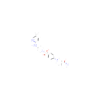 O=C1NCCCC12CCN(c1ccc(S(=O)(=O)N3CCC(Nc4ccc(C(F)(F)F)cn4)CC3)cc1)CC2